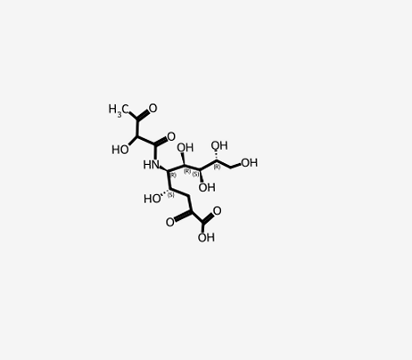 CC(=O)C(O)C(=O)N[C@@H]([C@@H](O)[C@H](O)[C@H](O)CO)[C@@H](O)CC(=O)C(=O)O